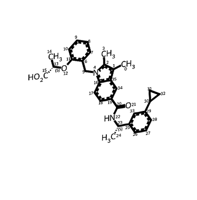 Cc1c(C)n(Cc2ccccc2O[C@@H](C)C(=O)O)c2ccc(C(=O)N[C@@H](C)c3cccc(C4CC4)c3)cc12